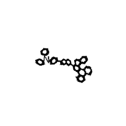 C1=CC2c3ccccc3-c3cc(-c4ccc5cc(-c6ccc(N(c7ccccc7)c7ccccc7)cc6)ccc5c4)c4ccc5ccccc5c4c3C2C=C1